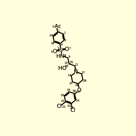 CC(=O)c1ccc(S(=O)(=O)NC[C@@H](O)CN2CCC(Oc3ccc(Cl)c(Cl)c3)CC2)cc1